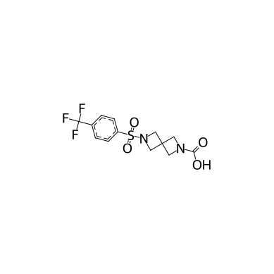 O=C(O)N1CC2(C1)CN(S(=O)(=O)c1ccc(C(F)(F)F)cc1)C2